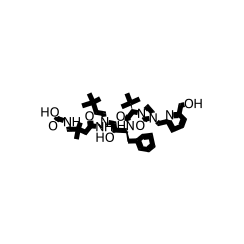 CC(C)(C)CCN(C[C@H](O)[C@H](Cc1ccccc1)NC(=O)[C@@H](N1CCN(Cc2cccc(CO)n2)C1=O)C(C)(C)C)NC(=O)CC(C)(C)CNC(=O)O